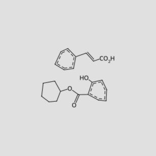 O=C(O)C=Cc1ccccc1.O=C(OC1CCCCC1)c1ccccc1O